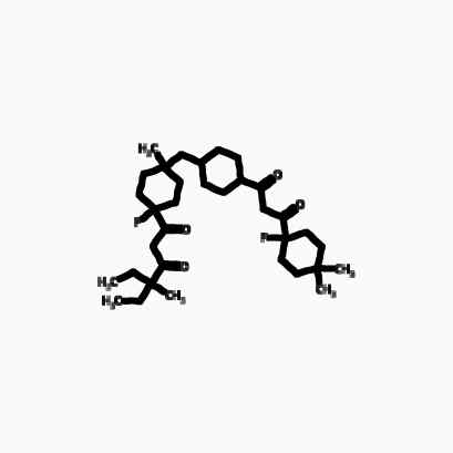 CCC(C)(CC)C(=O)CC(=O)C1(F)CCC(C)(CC2CCC(C(=O)CC(=O)C3(F)CCC(C)(C)CC3)CC2)CC1